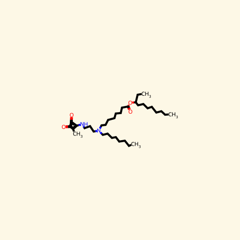 CCCCCCCCC(CC)OC(=O)CCCCCCCN(CCCCCCCC)CCCNc1c(C)c(=O)c1=O